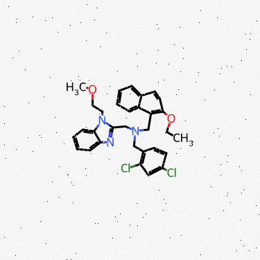 CCOc1ccc2ccccc2c1CN(Cc1ccc(Cl)cc1Cl)Cc1nc2ccccc2n1CCOC